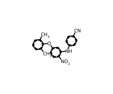 Cc1cccc(C)c1Oc1ccc([N+](=O)[O-])c(Nc2ccc(C#N)cc2)c1